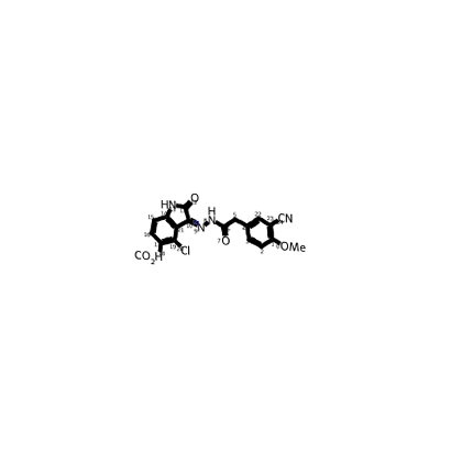 COc1ccc(CC(=O)N/N=C2\C(=O)Nc3ccc(C(=O)O)c(Cl)c32)cc1C#N